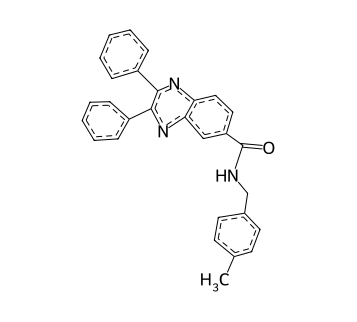 Cc1ccc(CNC(=O)c2ccc3nc(-c4ccccc4)c(-c4ccccc4)nc3c2)cc1